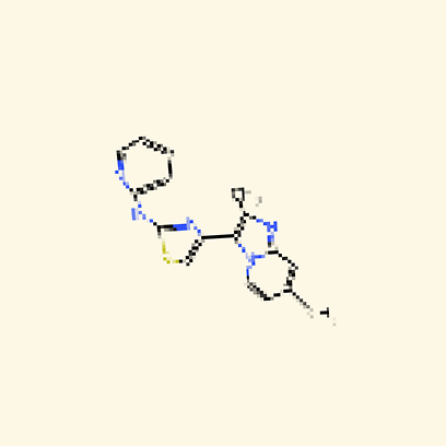 Cc1ccn2c(-c3csc(Nc4ccccn4)n3)c(C)nc2c1